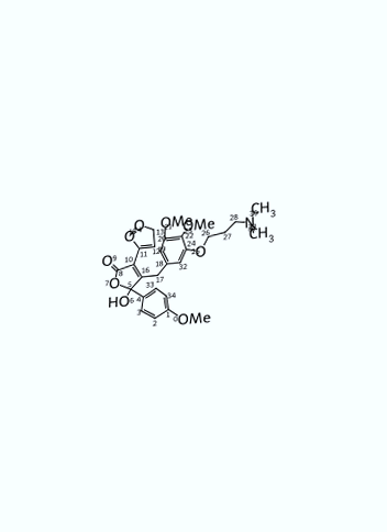 COc1ccc(C2(O)OC(=O)C(C3=CCOO3)=C2Cc2cc(OC)c(OC)c(OCCCN(C)C)c2)cc1